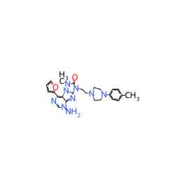 Cc1ccc(N2CCN(CCN3C(=O)N(C)N4C5=C(c6ccco6)N=CN(N)C5=NC34)CC2)cc1